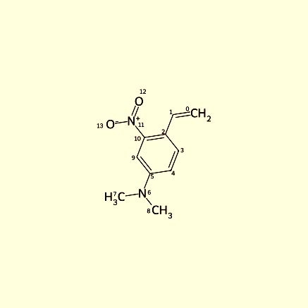 C=Cc1ccc(N(C)C)cc1[N+](=O)[O-]